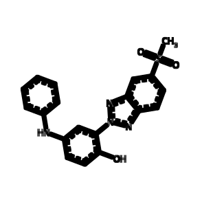 CS(=O)(=O)c1ccc2nn(-c3cc(Nc4ccccc4)ccc3O)nc2c1